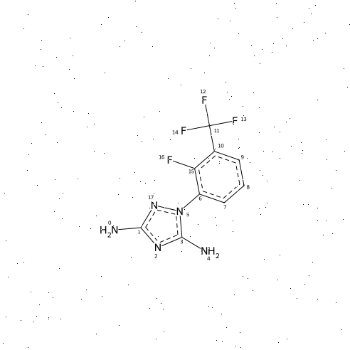 Nc1nc(N)n(-c2cccc(C(F)(F)F)c2F)n1